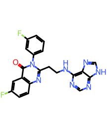 O=c1c2cc(F)ccc2nc(CCNc2ncnc3[nH]cnc23)n1-c1cccc(F)c1